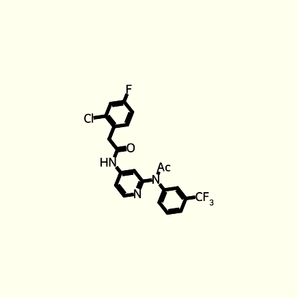 CC(=O)N(c1cccc(C(F)(F)F)c1)c1cc(NC(=O)Cc2ccc(F)cc2Cl)ccn1